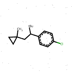 CC1(CC(c2ccc(Cl)cc2)C(C)(C)C)CC1